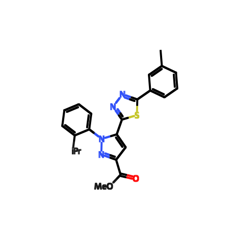 COC(=O)c1cc(-c2nnc(-c3cccc(C)c3)s2)n(-c2ccccc2C(C)C)n1